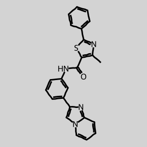 Cc1nc(-c2ccccc2)sc1C(=O)Nc1cccc(-c2cn3ccccc3n2)c1